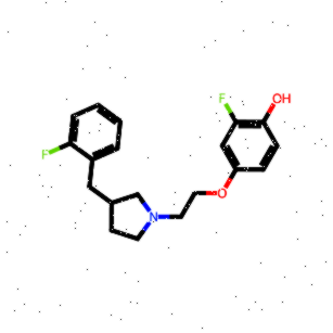 Oc1ccc(OCCN2CCC(Cc3ccccc3F)C2)cc1F